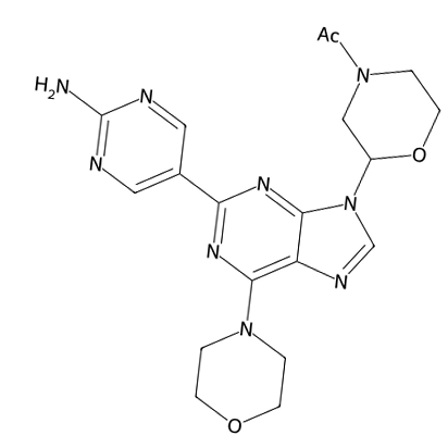 CC(=O)N1CCOC(n2cnc3c(N4CCOCC4)nc(-c4cnc(N)nc4)nc32)C1